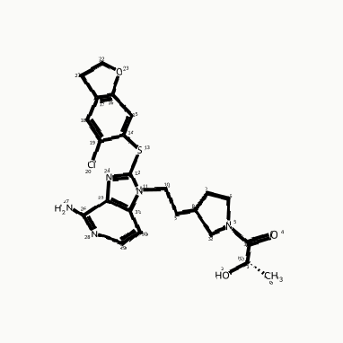 C[C@H](O)C(=O)N1CCC(CCn2c(Sc3cc4c(cc3Cl)CCO4)nc3c(N)nccc32)C1